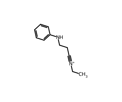 CC[N+]#CCCNc1ccccc1